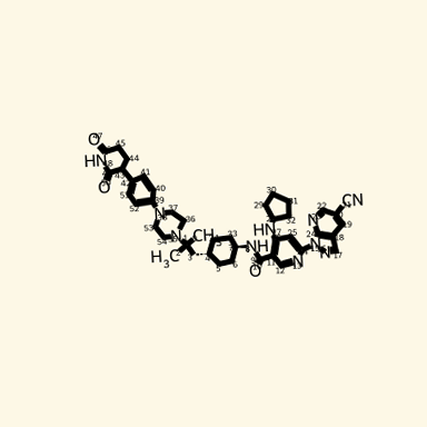 CC(C)(C[C@H]1CC[C@H](NC(=O)c2cnc(-n3ncc4cc(C#N)cnc43)cc2NC2CCCC2)CC1)N1CCN(c2ccc(C3CCC(=O)NC3=O)cc2)CC1